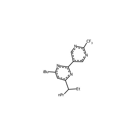 CCCC(CC)c1cc(C(C)CC)nc(-c2cnc(C(F)(F)F)nc2)n1